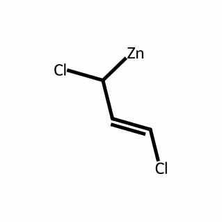 ClC=C[CH](Cl)[Zn]